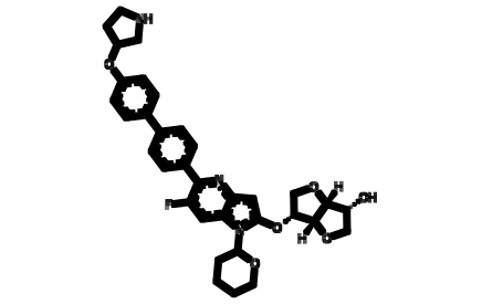 O[C@@H]1CO[C@H]2[C@@H]1OC[C@H]2Oc1cc2nc(-c3ccc(-c4ccc(OC5CCNC5)cc4)cc3)c(F)cc2n1C1CCCCO1